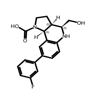 O=C(O)N1CC[C@@H]2[C@H]1c1cc(-c3cccc(F)c3)ccc1N[C@@H]2CO